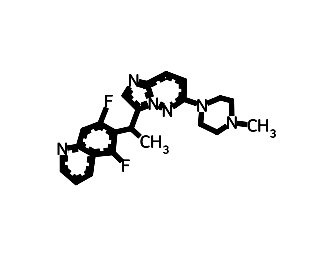 CC(c1c(F)cc2ncccc2c1F)c1cnc2ccc(N3CCN(C)CC3)nn12